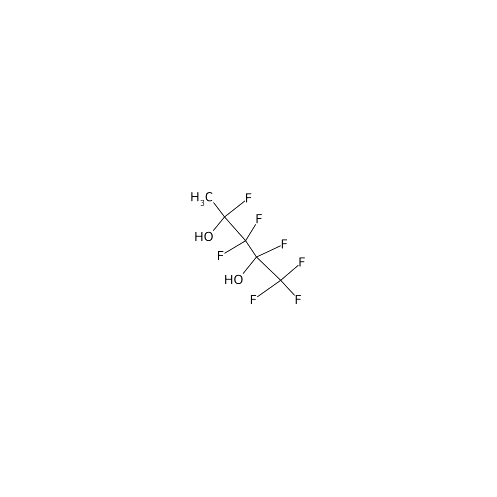 CC(O)(F)C(F)(F)C(O)(F)C(F)(F)F